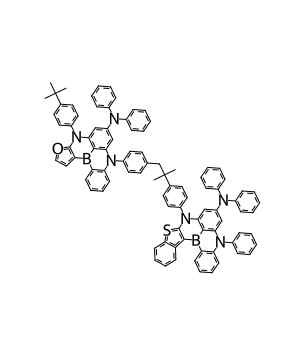 CC(C)(C)c1ccc(N2c3cc(N(c4ccccc4)c4ccccc4)cc4c3B(c3ccccc3N4c3ccc(CC(C)(C)c4ccc(N5c6cc(N(c7ccccc7)c7ccccc7)cc7c6B(c6ccccc6N7c6ccccc6)c6c5sc5ccccc65)cc4)cc3)c3ccoc32)cc1